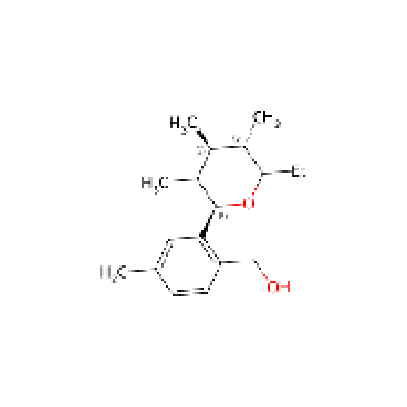 CCC1O[C@@H](c2cc(C)ccc2CO)C(C)[C@@H](C)[C@@H]1C